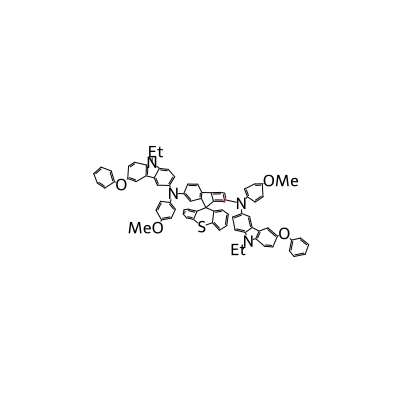 CCn1c2ccc(Oc3ccccc3)cc2c2cc(N(c3ccc(OC)cc3)c3ccc4c(c3)C3(c5ccccc5Sc5ccccc53)c3cc(N(c5ccc(OC)cc5)c5ccc6c(c5)c5cc(Oc7ccccc7)ccc5n6CC)ccc3-4)ccc21